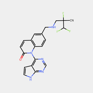 N#CC(F)(CNCc1ccc2c(ccc(=O)n2-c2ncnc3[nH]ccc23)c1)C(F)F